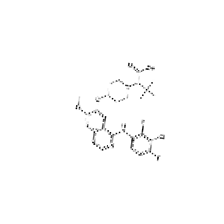 COc1cc2ncnc(Nc3ccc(F)c(Cl)c3F)c2cc1OC1CCN(C(C(=O)O)C(C)(C)C)CC1